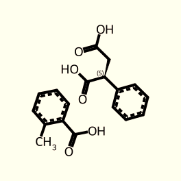 Cc1ccccc1C(=O)O.O=C(O)C[C@H](C(=O)O)c1ccccc1